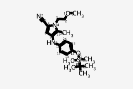 COCCn1c(C#N)cc(Nc2ccc(O[Si](C)(C)C(C)(C)C)cc2)c1C